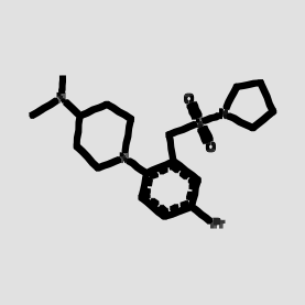 CC(C)c1ccc(N2CCC(N(C)C)CC2)c(CS(=O)(=O)N2CCCC2)c1